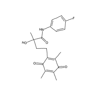 CC1=C(C)C(=O)C(CCC(C)(O)C(=O)Nc2ccc(F)cc2)=C(C)C1=O